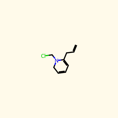 C=CCC1=CC=CCN1CCl